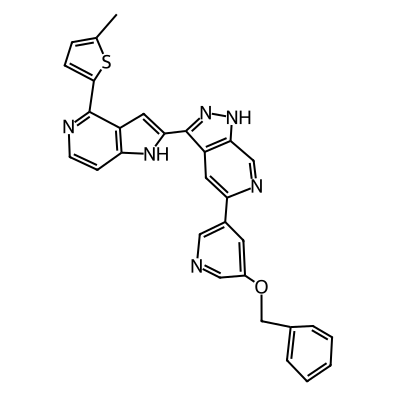 Cc1ccc(-c2nccc3[nH]c(-c4n[nH]c5cnc(-c6cncc(OCc7ccccc7)c6)cc45)cc23)s1